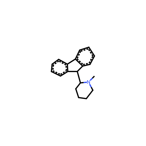 CN1CCCCC1C1c2ccccc2-c2ccccc21